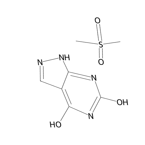 CS(C)(=O)=O.Oc1nc(O)c2cn[nH]c2n1